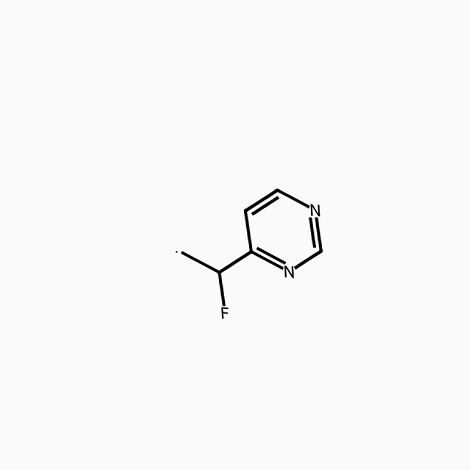 [CH2]C(F)c1ccncn1